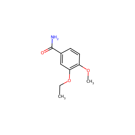 CCOc1cc(C(N)=O)ccc1OC